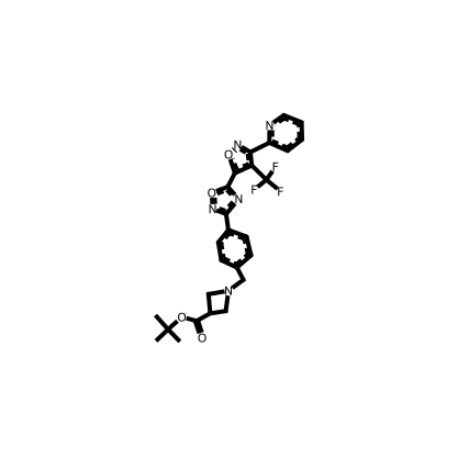 CC(C)(C)OC(=O)C1CN(Cc2ccc(-c3noc(-c4onc(-c5ccccn5)c4C(F)(F)F)n3)cc2)C1